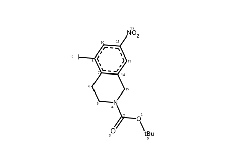 CC(C)(C)OC(=O)N1CCc2c(I)cc([N+](=O)[O-])cc2C1